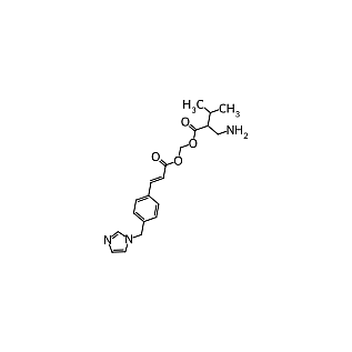 CC(C)C(CN)C(=O)OCOC(=O)/C=C/c1ccc(Cn2ccnc2)cc1